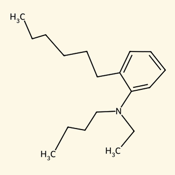 CCCCCCc1ccccc1N(CC)CCCC